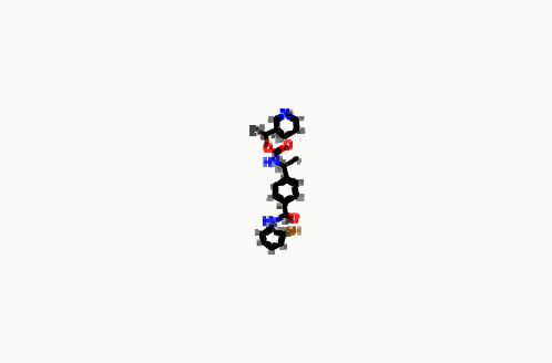 CC[C@H](OC(=O)N[C@@H](C)c1ccc(C(=O)Nc2ccccc2S)cc1)c1cccnc1